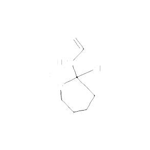 C=C[SiH2]C1(Cl)CCCCO1.[Pt]